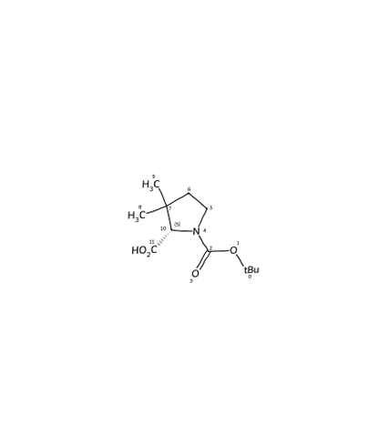 CC(C)(C)OC(=O)N1CCC(C)(C)[C@H]1C(=O)O